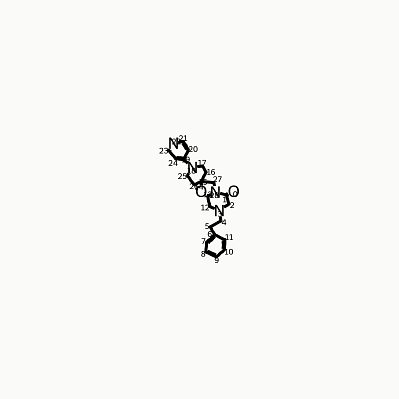 O=C1CN(CCc2ccccc2)CC2OC3(CCN(c4ccncc4)CC3)CN12